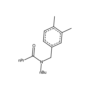 CCCCN(Cc1ccc(C)c(C)c1)C(=O)CCC